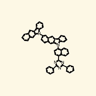 c1ccc(-c2nc(-c3ccccc3)nc(-c3ccc(-n4c5ccccc5c5cc6cc(-n7c8ccccc8c8cc9ccccc9cc87)ccc6cc54)c4ccccc34)n2)cc1